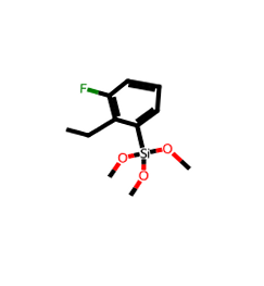 CCc1c(F)cccc1[Si](OC)(OC)OC